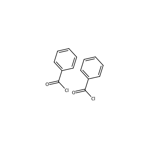 O=C(Cl)c1ccccc1.O=C(Cl)c1ccccc1